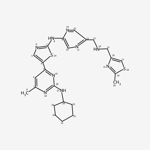 Cc1cc(-c2cnc(Nc3cnc(CNCc4csc(C)n4)cn3)s2)nc(NC2CCCCC2)n1